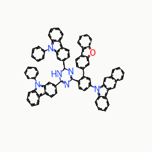 c1ccc(-n2c3ccccc3c3ccc(C4=NC(c5ccc(-n6c7ccccc7c7cc8ccccc8cc76)cc5-c5ccc6c(c5)oc5ccccc56)=NC(c5ccc6c7ccccc7n(-c7ccccc7)c6c5)N4)cc32)cc1